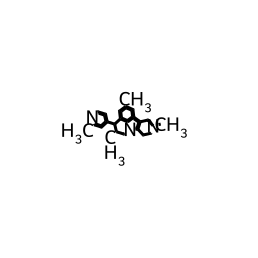 Cc1cc2c3c(c1)c1c(n3CC(C)C2c2ccnc(C)c2)CCN(C)C1